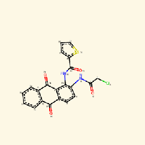 O=C(CCl)Nc1ccc2c(c1NC(=O)c1cccs1)C(=O)c1ccccc1C2=O